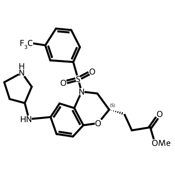 COC(=O)CC[C@H]1CN(S(=O)(=O)c2cccc(C(F)(F)F)c2)c2cc(NC3CCNC3)ccc2O1